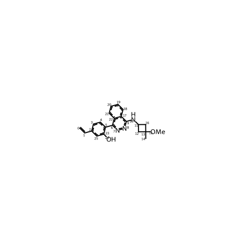 C=Cc1ccc(-c2nnc(NC3CC(C)(OC)C3)c3ccccc23)c(O)c1